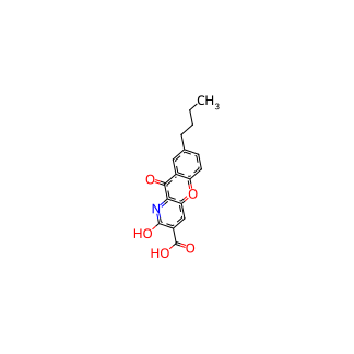 CCCCc1ccc2oc3cc(C(=O)O)c(O)nc3c(=O)c2c1